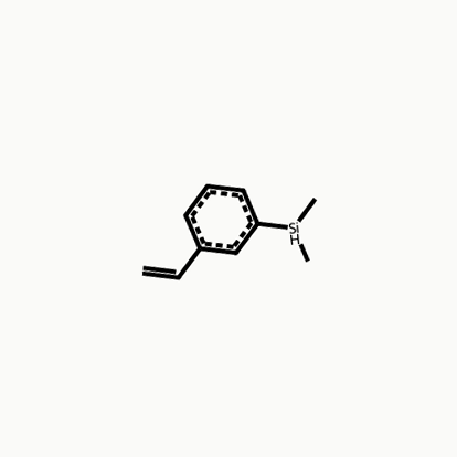 C=Cc1cccc([SiH](C)C)c1